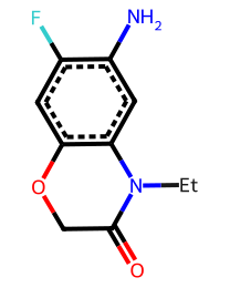 CCN1C(=O)COc2cc(F)c(N)cc21